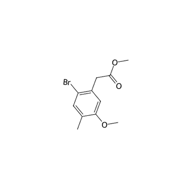 COC(=O)Cc1cc(OC)c(C)cc1Br